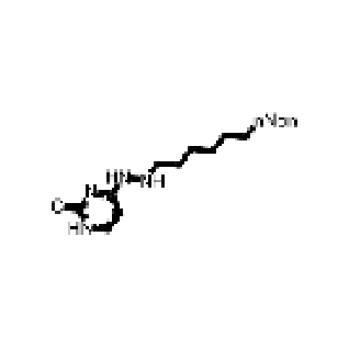 CCCCCCCCCCCCCCCNNc1cc[nH]c(=O)n1